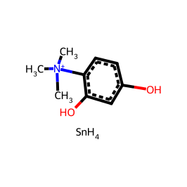 C[N+](C)(C)c1ccc(O)cc1O.[SnH4]